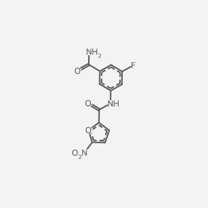 NC(=O)c1cc(F)cc(NC(=O)c2ccc([N+](=O)[O-])o2)c1